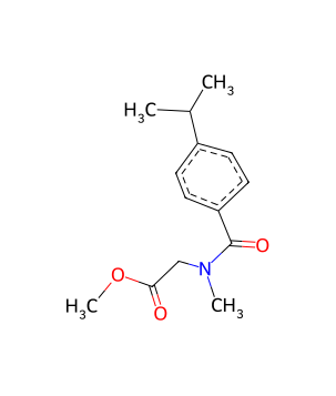 COC(=O)CN(C)C(=O)c1ccc(C(C)C)cc1